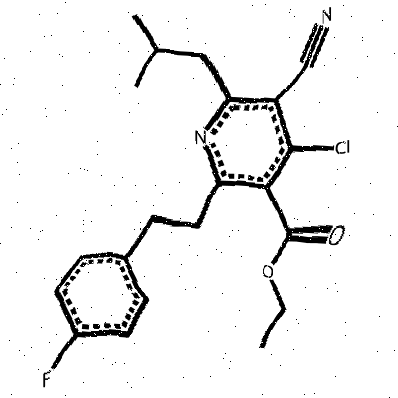 CCOC(=O)c1c(CCc2ccc(F)cc2)nc(CC(C)C)c(C#N)c1Cl